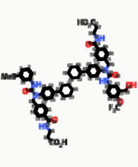 CSc1cccc(NC(=O)N(Cc2ccc(C(=O)NCCC(=O)O)cc2)c2ccc(C3CCCCC3)cc2)c1.O=C(O)CCNC(=O)c1ccc(CN(C(=O)Nc2ccc(OC(F)(F)F)c(CO)c2)c2ccc(C3=CCCCC3)cc2)cc1